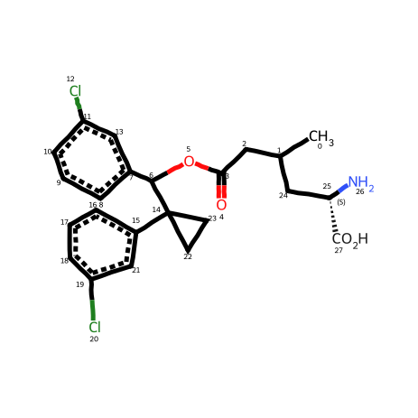 CC(CC(=O)OC(c1cccc(Cl)c1)C1(c2cccc(Cl)c2)CC1)C[C@H](N)C(=O)O